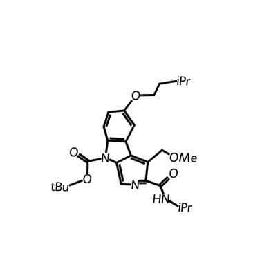 COCc1c(C(=O)NC(C)C)ncc2c1c1cc(OCCC(C)C)ccc1n2C(=O)OC(C)(C)C